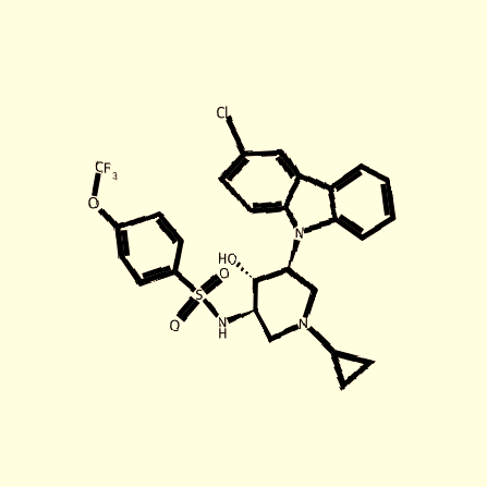 O=S(=O)(N[C@@H]1CN(C2CC2)C[C@H](n2c3ccccc3c3cc(Cl)ccc32)[C@H]1O)c1ccc(OC(F)(F)F)cc1